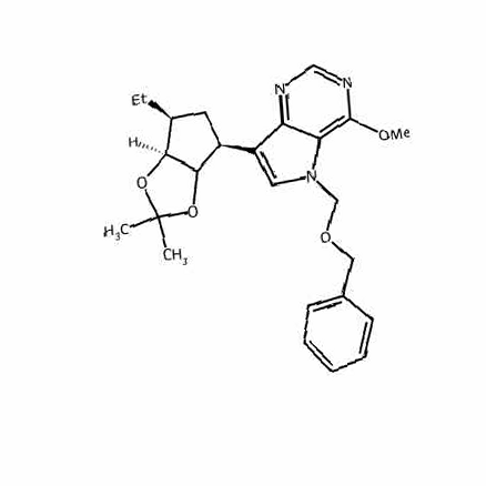 CC[C@H]1C[C@@H](c2cn(COCc3ccccc3)c3c(OC)ncnc23)C2OC(C)(C)O[C@H]21